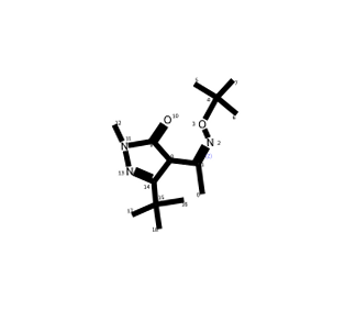 C/C(=N/OC(C)(C)C)C1C(=O)N(C)N=C1C(C)(C)C